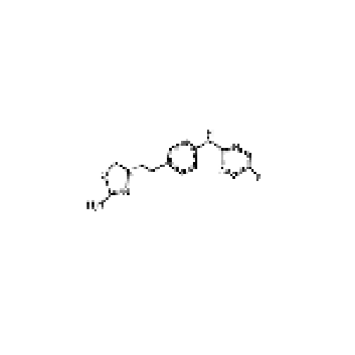 NC1=N[C@@H](CCc2ccc(Nc3ncc(F)cn3)cc2)CO1